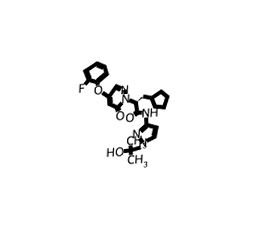 CC(C)(O)Cn1ccc(NC(=O)[C@@H](CC2CCCC2)n2ncc(Oc3ccccc3F)cc2=O)n1